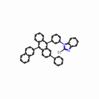 CCc1nc2ccccc2n1-c1cccc(-c2c3ccccc3c(-c3ccc4ccccc4c3)c3ccc(-c4ccccc4)cc23)c1